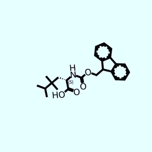 CC(C)C(C)(C)C[C@H](NC(=O)OCC1c2ccccc2-c2ccccc21)C(=O)O